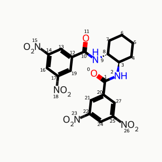 O=C(N[C@@H]1CCCC[C@H]1NC(=O)c1cc([N+](=O)[O-])cc([N+](=O)[O-])c1)c1cc([N+](=O)[O-])cc([N+](=O)[O-])c1